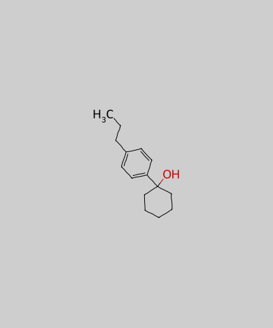 CCCc1ccc(C2(O)CCCCC2)cc1